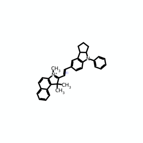 C[N+]1=C(/C=C/c2ccc3c(c2)C2CCCC2N3c2ccccc2)C(C)(C)c2c1ccc1ccccc21